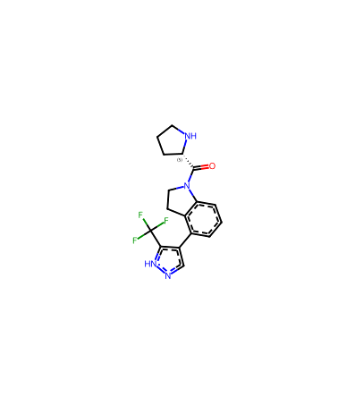 O=C([C@@H]1CCCN1)N1CCc2c(-c3cn[nH]c3C(F)(F)F)cccc21